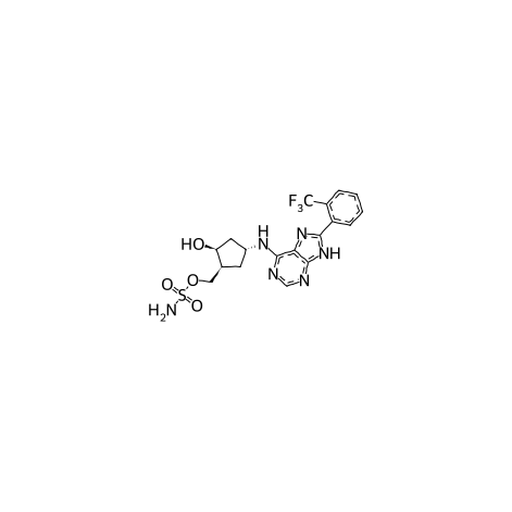 NS(=O)(=O)OC[C@@H]1C[C@@H](Nc2ncnc3[nH]c(-c4ccccc4C(F)(F)F)nc23)C[C@@H]1O